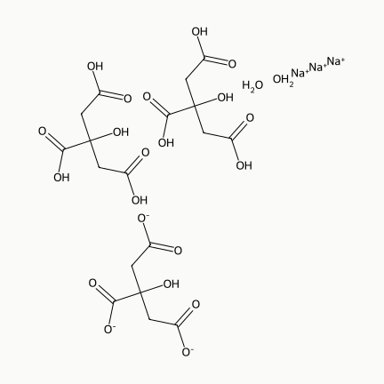 O.O.O=C(O)CC(O)(CC(=O)O)C(=O)O.O=C(O)CC(O)(CC(=O)O)C(=O)O.O=C([O-])CC(O)(CC(=O)[O-])C(=O)[O-].[Na+].[Na+].[Na+]